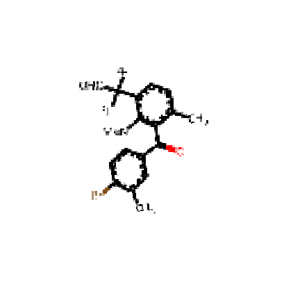 [2H]C([2H])(C=O)c1ccc(C)c(C(=O)c2ccc(Br)c(C)c2)c1NC